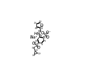 O=S(=O)([O-])c1ccc(S(=O)(=O)CC2CC2)cc1NCc1ccco1.[Na+]